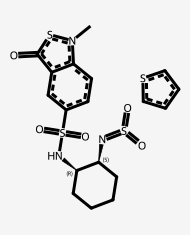 Cn1sc(=O)c2cc(S(=O)(=O)N[C@@H]3CCCC[C@@H]3N=S(=O)=O)ccc21.c1ccsc1